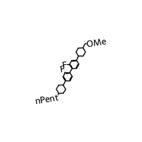 CCCCCC1CCC(c2ccc(-c3ccc(C4CCC(COC)CC4)cc3F)c(F)c2)CC1